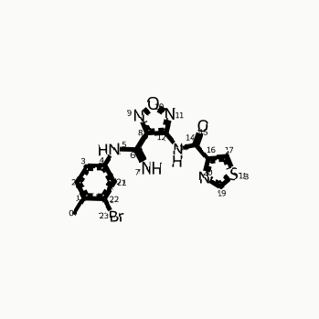 Cc1ccc(NC(=N)c2nonc2NC(=O)c2cscn2)cc1Br